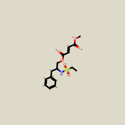 CCS(=O)(=O)NC(COC(=O)/C=C/C(=O)OC)Cc1ccccc1